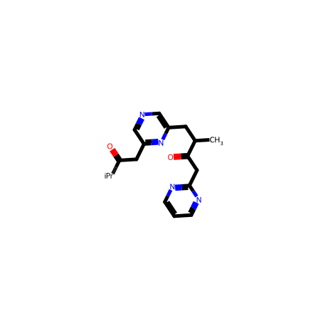 CC(C)C(=O)Cc1cncc(CC(C)C(=O)Cc2ncccn2)n1